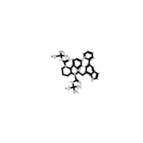 CC(C)(C)OC(=O)N1CCCC(N(C(=O)Cc2cc(-c3ccccn3)cc3ccoc23)C(=O)OC(C)(C)C)C1c1ccccc1